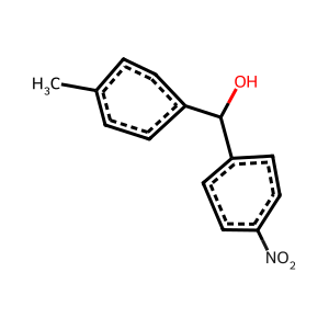 Cc1ccc(C(O)c2ccc([N+](=O)[O-])cc2)cc1